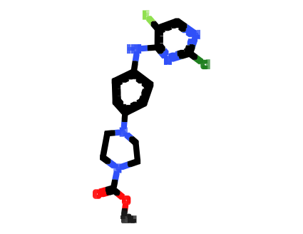 CC(C)(C)OC(=O)N1CCN(c2ccc(Nc3nc(Cl)ncc3F)cc2)CC1